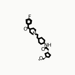 COC[C@@H]1CC[C@@H](CC(=O)NC2CCC(CCN3CCC(C(=O)c4ccc(F)cc4)CC3)CC2)C1